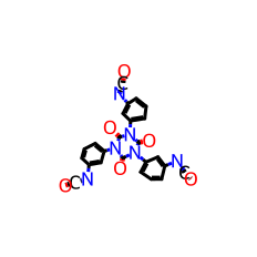 O=C=Nc1cccc(-n2c(=O)n(-c3cccc(N=C=O)c3)c(=O)n(-c3cccc(N=C=O)c3)c2=O)c1